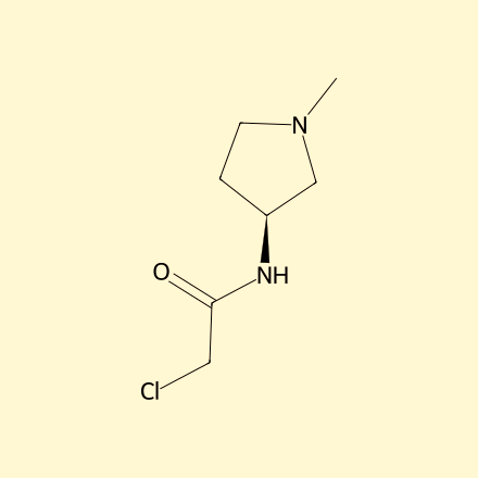 CN1CC[C@H](NC(=O)CCl)C1